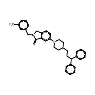 O=C1c2cc(N3CCN(CCC(c4ccccc4)c4ccccc4)CC3)ccc2CN1Cc1cccc(C(F)(F)F)c1